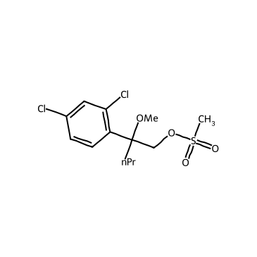 CCCC(COS(C)(=O)=O)(OC)c1ccc(Cl)cc1Cl